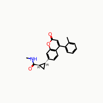 CNC(=O)[C@@H]1C[C@H]1c1ccc2c(-c3ccccc3C)cc(=O)oc2c1